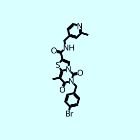 Cc1cc(CNC(=O)c2cn3c(=O)n(Cc4ccc(Br)cc4)c(=O)c(C)c3s2)ccn1